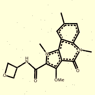 COc1c(C(=O)NC2COC2)n(C)c2c1c(=O)n(C)c1ccc(C)cc21